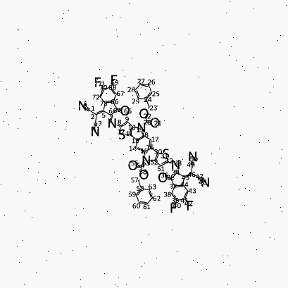 N#CC(C#N)=C1/C(=N/c2cc3c(s2)c2cc4c(cc2n3C(=O)OCc2ccccc2)c2sc(/N=C3\C(=O)c5cc(F)c(F)cc5C3=C(C#N)C#N)cc2n4C(=O)OCc2ccccc2)C(=O)c2cc(F)c(F)cc21